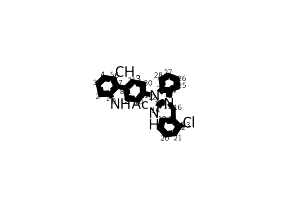 CC(=O)Nc1cccc(C)c1-c1ccc(-n2c(=N)n(Cc3ccccc3Cl)c3ccccc32)cc1